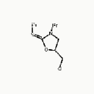 CC(C)N=C1OC(CCl)CN1C(C)C